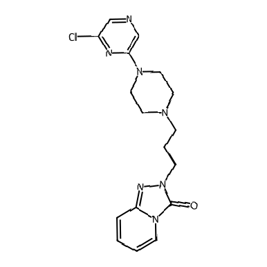 O=c1n(CCCN2CCN(c3cncc(Cl)n3)CC2)nc2ccccn12